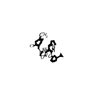 Cc1ccc(C[C@@H]2CON=C(c3cc4cccn4nc3Oc3cccc(C4CC4)c3)N2)c(Cl)c1